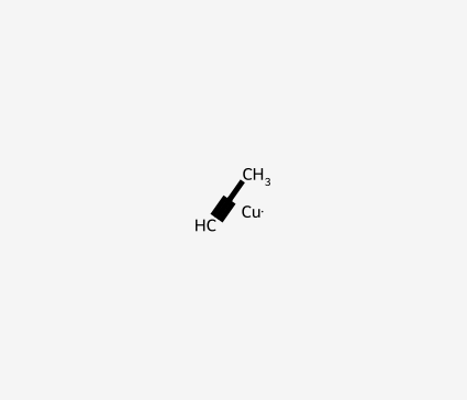 C#CC.[Cu]